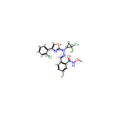 CONC(=O)c1cc(F)ccc1/C=N/N(c1nc(-c2ccccc2Cl)cs1)C1CC1(F)F